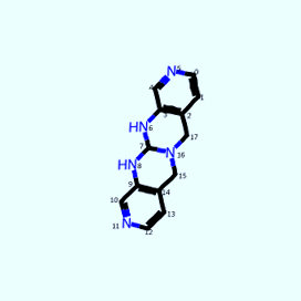 c1cc2c(cn1)NC1Nc3cnccc3CN1C2